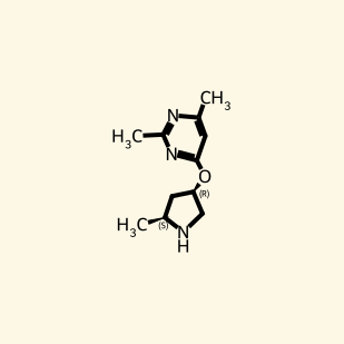 Cc1cc(O[C@H]2CN[C@@H](C)C2)nc(C)n1